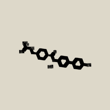 Cl.N#Cc1ccc(-c2ccc(OC(=O)[C@H]3CC[C@H](CNC(=N)N)CC3)cc2)cc1